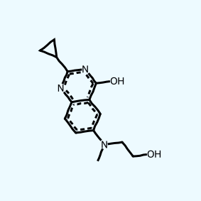 CN(CCO)c1ccc2nc(C3CC3)nc(O)c2c1